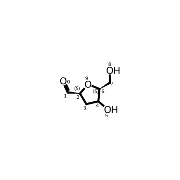 O=C[C@@H]1CC(O)[C@H](CO)O1